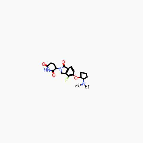 CCN(CC)C1CCCC1Oc1ccc2c(c1F)CN(C1CCC(=O)NC1=O)C2=O